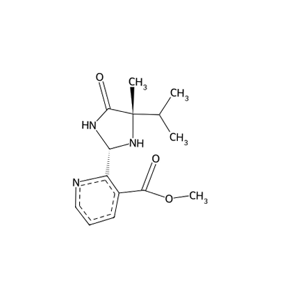 COC(=O)c1cccnc1[C@@H]1NC(=O)[C@](C)(C(C)C)N1